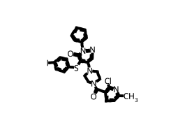 Cc1ccc(C(=O)N2CCN(c3cnn(-c4ccccc4)c(=O)c3Sc3ccc(I)cc3)CC2)c(Cl)n1